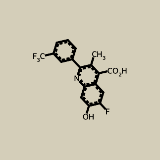 Cc1c(-c2cccc(C(F)(F)F)c2)nc2cc(O)c(F)cc2c1C(=O)O